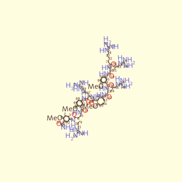 COc1ccc(NC(=O)[C@@H](CCCNC(=N)N)CNC(=O)c2cc(NC(=O)[C@@H](CCCNC(=N)N)NC(=O)C3=CC(NC(=O)[C@@H](CCCNC(=N)N)NC(=O)c4cc(NC(=O)[C@@H](CCCNC(=N)N)NC(=O)CCCCNC(=N)N)ccc4OC)=CC=CC3OC)ccc2OC)cc1C(N)=O